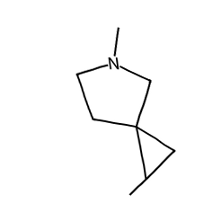 CC1CC12CCN(C)C2